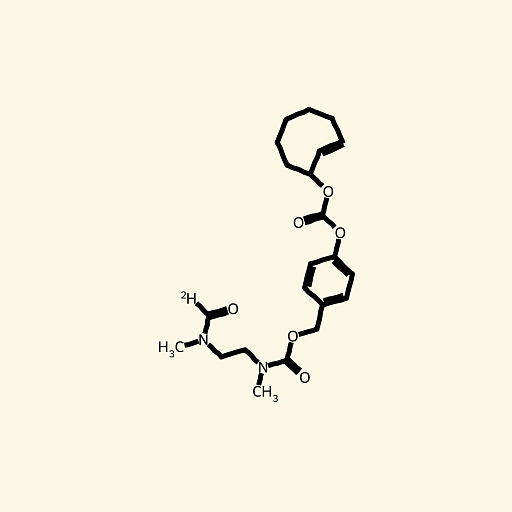 [2H]C(=O)N(C)CCN(C)C(=O)OCc1ccc(OC(=O)OC2/C=C/CCCCC2)cc1